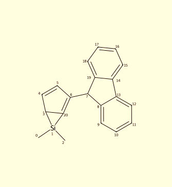 C[Si]1(C)[C]2C=CC(C3c4ccccc4-c4ccccc43)=C21